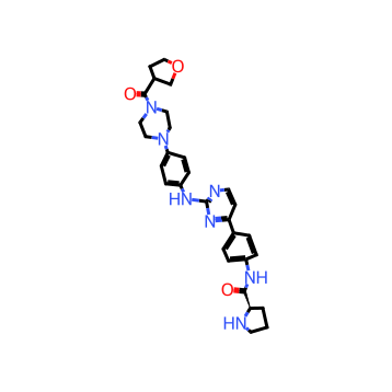 O=C(Nc1ccc(-c2ccnc(Nc3ccc(N4CCN(C(=O)C5CCOC5)CC4)cc3)n2)cc1)[C@H]1CCCN1